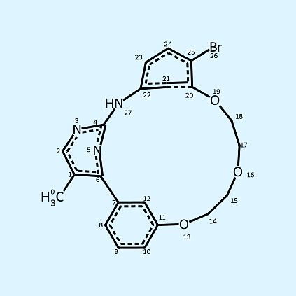 Cc1cnc2nc1-c1cccc(c1)OCCOCCOc1cc(ccc1Br)N2